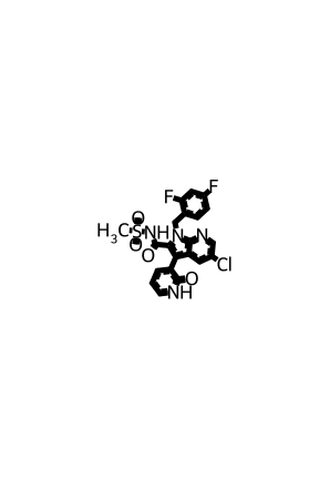 CS(=O)(=O)NC(=O)c1c(-c2ccc[nH]c2=O)c2cc(Cl)cnc2n1Cc1ccc(F)cc1F